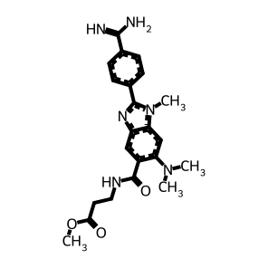 COC(=O)CCNC(=O)c1cc2nc(-c3ccc(C(=N)N)cc3)n(C)c2cc1N(C)C